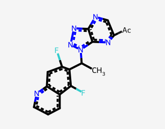 CC(=O)c1cnc2nnn(C(C)c3c(F)cc4ncccc4c3F)c2n1